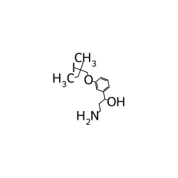 CCC(I)(CC)COc1cccc(C(O)CCN)c1